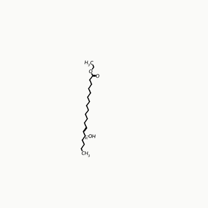 CCCC[C@@H](O)C=CCCCCCCCCCCCC(=O)OCC